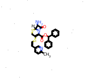 Cc1ccc(/C=C\SC2=C(C(=O)OC(c3ccccc3)c3ccccc3)N3C(=O)C(N)[C@H]3SC2)cn1